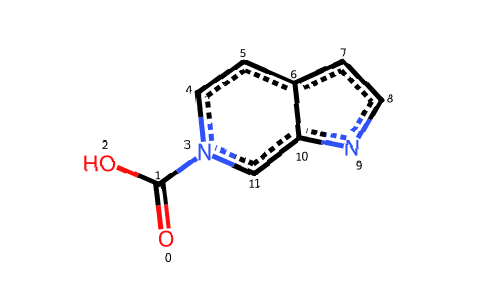 O=C(O)n1ccc2ccnc-2c1